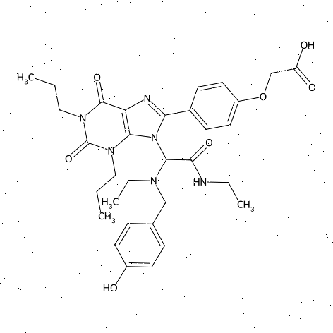 CCCn1c(=O)c2nc(-c3ccc(OCC(=O)O)cc3)n(C(C(=O)NCC)N(CC)Cc3ccc(O)cc3)c2n(CCC)c1=O